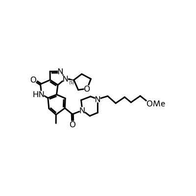 COCCCCCN1CCN(C(=O)c2cc3c(cc2C)[nH]c(=O)c2cnn([C@H]4CCOC4)c23)CC1